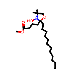 CCCCCCCCCCCCC1(CCCC(=O)OC)OCC(C)(C)N1O